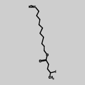 CCCCCCCCCCCCCCCCCCCCOC(=O)CCC(C)I